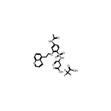 CC(=O)Nc1ccc(S(=O)(=O)NC(C=O)CC(=O)O)c(OCCc2cccc3ncccc23)c1.O=C(O)C(F)(F)F